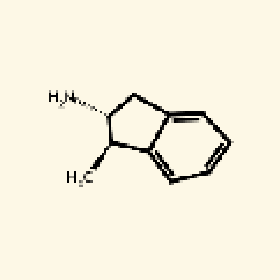 C[C@@H]1c2ccccc2C[C@H]1N